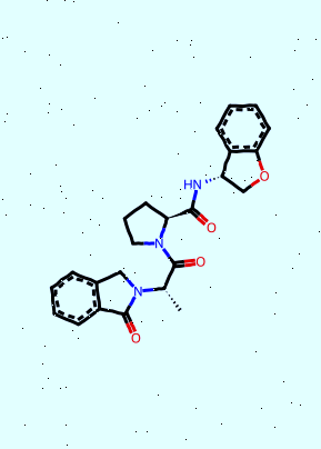 C[C@@H](C(=O)N1CCC[C@H]1C(=O)N[C@H]1COc2ccccc21)N1Cc2ccccc2C1=O